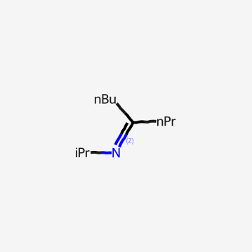 CCCC/C(CCC)=N\C(C)C